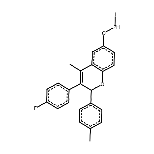 CC1=C(c2ccc(F)cc2)C(c2ccc(C)cc2)Oc2ccc(OPI)cc21